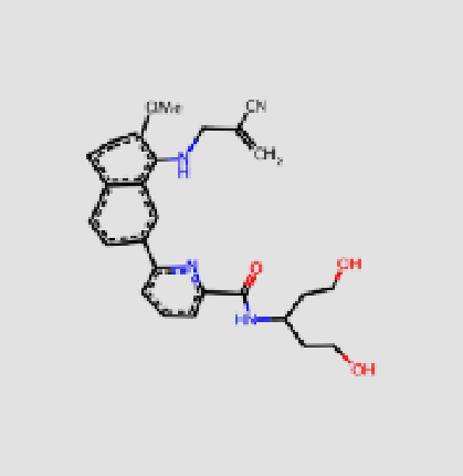 C=C(C#N)CNc1c(OC)ccc2ccc(-c3cccc(C(=O)NC(CCO)CCO)n3)cc12